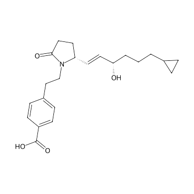 O=C(O)c1ccc(CCN2C(=O)CC[C@@H]2C=C[C@@H](O)CCCC2CC2)cc1